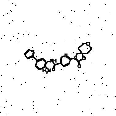 Nc1ccc(-c2cccs2)cc1NC(=O)c1ccc(N2CC3(CCOCC3)OC2=O)nc1